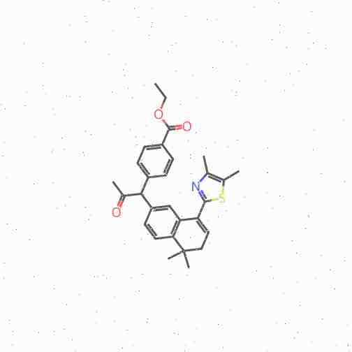 CCOC(=O)c1ccc(C(C(C)=O)c2ccc3c(c2)C(c2nc(C)c(C)s2)=CCC3(C)C)cc1